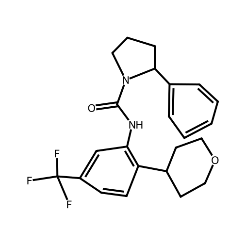 O=C(Nc1cc(C(F)(F)F)ccc1C1CCOCC1)N1CCCC1c1ccccc1